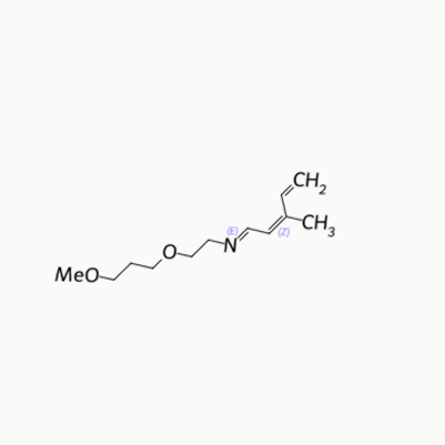 C=C/C(C)=C\C=N\CCOCCCOC